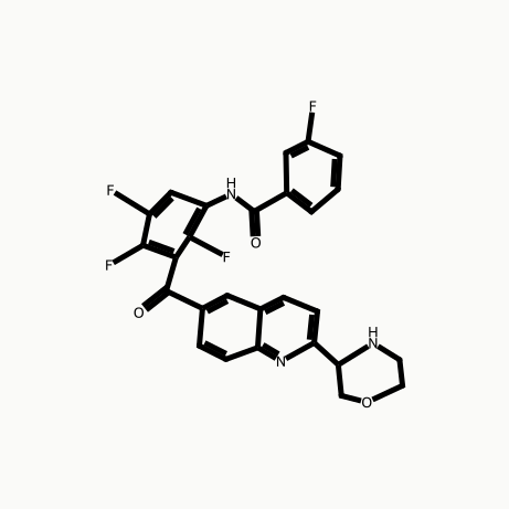 O=C(Nc1cc(F)c(F)c(C(=O)c2ccc3nc(C4COCCN4)ccc3c2)c1F)c1cccc(F)c1